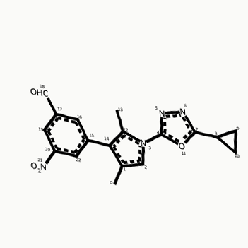 Cc1cn(-c2nnc(C3CC3)o2)c(C)c1-c1cc(C=O)cc([N+](=O)[O-])c1